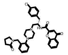 O=C(N[C@@H](Cc1ccc(Cl)cc1)CN1CCN(c2ccccc2CN2CCCC2=O)CC1)c1cc(=O)c2ccccc2o1